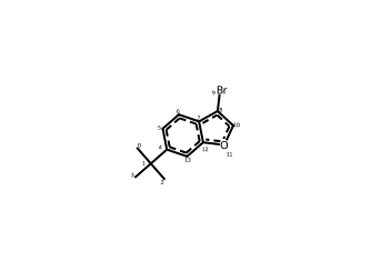 CC(C)(C)c1ccc2c(Br)coc2c1